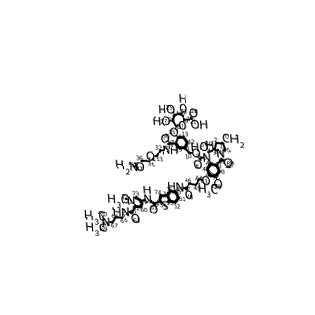 C=C1C[C@H]2C(O)N(C(=O)OCc3ccc(O[C@@H]4O[C@H](C(=O)O)[C@@H](O)[C@H](O)[C@H]4O)c(C(=O)NCCOCCON)c3)c3cc(OCCCC(=O)Nc4ccc5sc(C(=O)Nc6cc(C(=O)NCCCN(C)C)n(C)c6)cc5c4)c(OC)cc3C(=O)N2C1